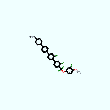 CCCCCC1CCC(c2ccc(-c3ccc(-c4ccc(C(F)(F)Oc5ccc(OC(F)(F)F)c(F)c5)c(F)c4)c(F)c3)cc2)CC1